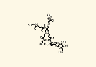 CCCNC(=O)CCCC(=O)NC(COCCC(=O)NCC(C)CC)(COCCC(=O)NCC(C)CC)COCCC(=O)NCC1(C)CC1COC1OC(CO)C(O)C(O)C1NC(C)=O